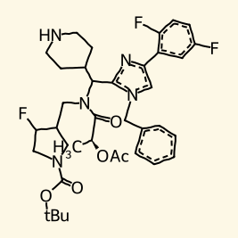 CC(=O)O[C@@H](C)C(=O)N(CC1CN(C(=O)OC(C)(C)C)CC1F)C(c1nc(-c2cc(F)ccc2F)cn1Cc1ccccc1)C1CCNCC1